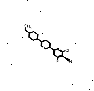 CCC1CCC(C2CCC(c3cc(F)c(C#N)c(Cl)c3)CC2)CC1